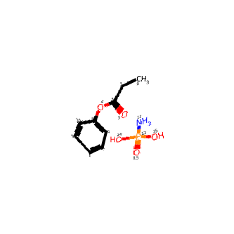 CCC(=O)Oc1ccccc1.NP(=O)(O)O